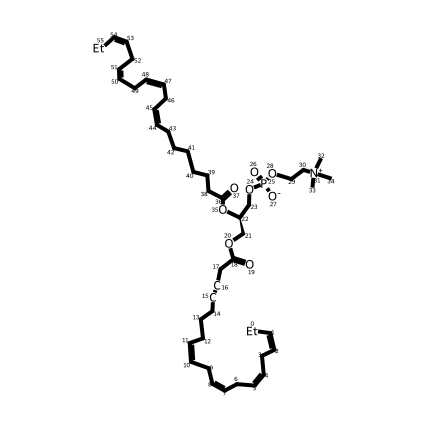 CC/C=C\C/C=C\C/C=C\C/C=C\CCCCCCC(=O)OC[C@H](COP(=O)([O-])OCC[N+](C)(C)C)OC(=O)CCCCCC/C=C\C/C=C\C/C=C\C/C=C\CC